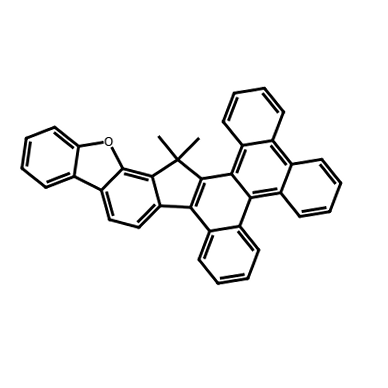 CC1(C)c2c(ccc3c2oc2ccccc23)-c2c1c1c3ccccc3c3ccccc3c1c1ccccc21